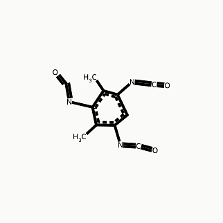 Cc1c(N=C=O)cc(N=C=O)c(C)c1N=C=O